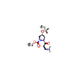 CN(C)/C=C\C(=O)[C@@H]1C[C@@H](O[Si](C)(C)C(C)(C)C)CN1C(=O)OC(C)(C)C